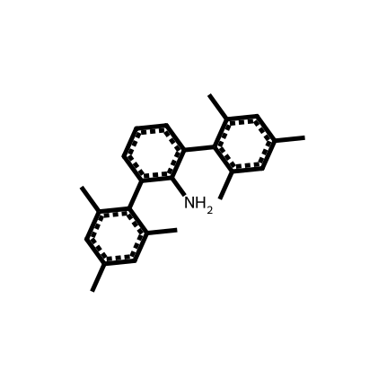 Cc1cc(C)c(-c2cccc(-c3c(C)cc(C)cc3C)c2N)c(C)c1